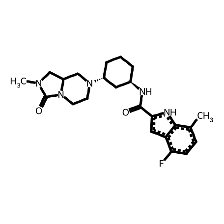 Cc1ccc(F)c2cc(C(=O)N[C@@H]3CCC[C@@H](N4CCN5C(=O)N(C)CC5C4)C3)[nH]c12